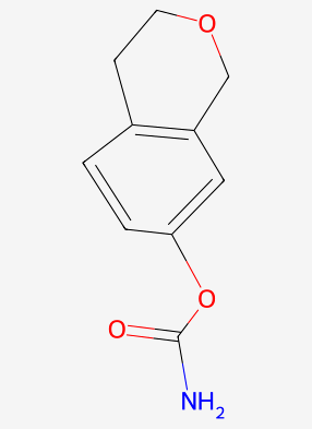 NC(=O)Oc1ccc2c(c1)COCC2